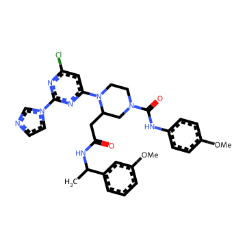 COc1ccc(NC(=O)N2CCN(c3cc(Cl)nc(-n4ccnc4)n3)C(CC(=O)NC(C)c3cccc(OC)c3)C2)cc1